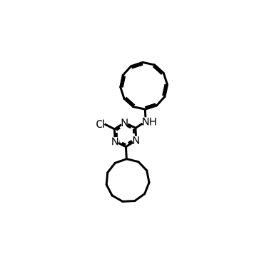 Clc1nc(NC2=C/C=C\C=C/C=C\C=C/C=C\2)nc(C2CCCCCCCCCC2)n1